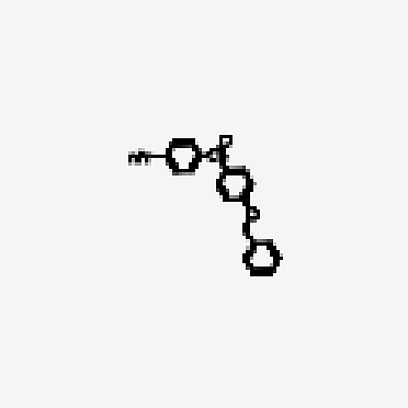 CCCc1cc[c]([Co](=[O])[c]2ccc(OCc3ccccc3)cc2)cc1